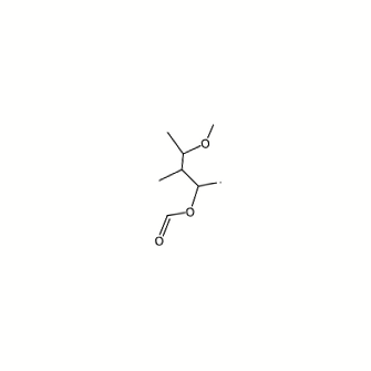 [CH2]C(OC=O)C(C)C(C)OC